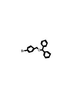 Brc1ccc(COC(c2ccccc2)c2ccccc2)cc1